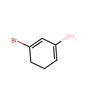 BC1=CCCC(Br)=C1